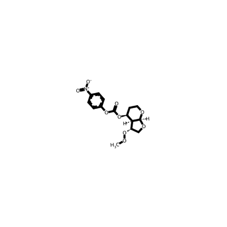 COO[C@H]1CO[C@@H]2OCC[C@H](OC(=O)Oc3ccc([N+](=O)[O-])cc3)[C@@H]21